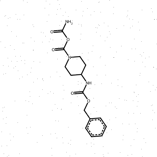 NC(=O)OC(=O)N1CCC(NC(=O)OCc2ccccc2)CC1